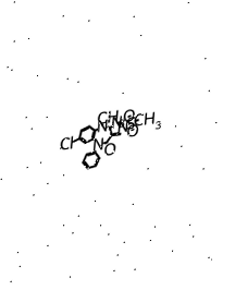 CN1c2ccc(Cl)cc2N(c2ccccc2)C(=O)c2cn(S(C)(=O)=O)nc21